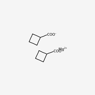 O=C([O-])C1CCC1.O=C([O-])C1CCC1.[Mg+2]